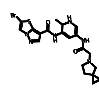 CC1NC=C(NC(=O)CN2CCC3(CC3)C2)C=C1NC(=O)c1cnn2cc(Br)sc12